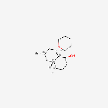 CC(C)[C@@H]1CC[C@]2(C)[C@@H](C1)[C@@H](C)CCC2(O)C1CCCCO1